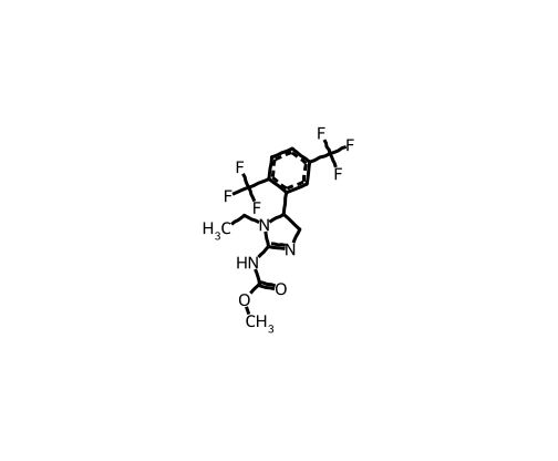 CCN1C(NC(=O)OC)=NCC1c1cc(C(F)(F)F)ccc1C(F)(F)F